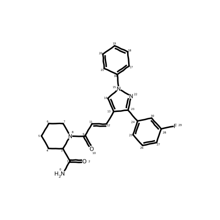 NC(=O)C1CCCCN1C(=O)/C=C/c1cn(-c2ccccc2)nc1-c1cccc(F)c1